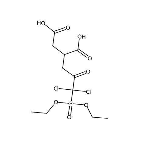 CCOP(=O)(OCC)C(Cl)(Cl)C(=O)CC(CC(=O)O)C(=O)O